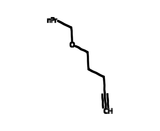 C#CCCCOCCCC